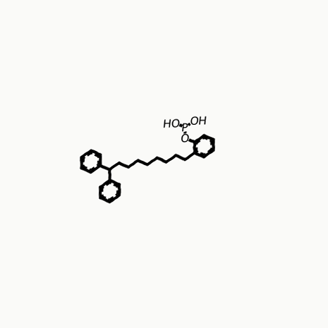 OP(O)Oc1ccccc1CCCCCCCCC(c1ccccc1)c1ccccc1